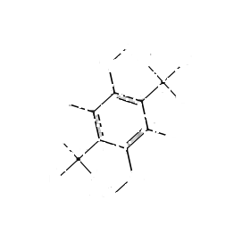 [2H]c1c(OCCCCCCCC)c(C([2H])([2H])Br)c([2H])c(OCCCCCCCC)c1C([2H])([2H])Br